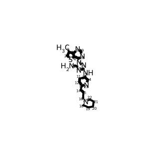 Cc1csc2c(-n3nc(Nc4ccc(/C=C/CN5CCCCC5)nc4)nc3N)ncnc12